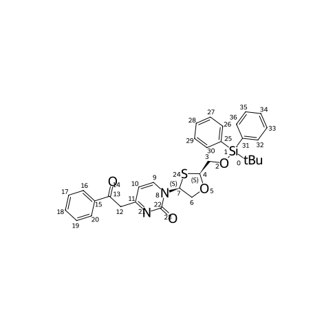 CC(C)(C)[Si](OC[C@H]1OC[C@@H](n2ccc(CC(=O)c3ccccc3)nc2=O)S1)(c1ccccc1)c1ccccc1